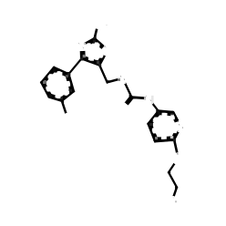 CC(C)(C)c1nc(-c2cccc(Cl)c2)c(CNC(=O)Nc2ccc(OCCO)nc2)s1